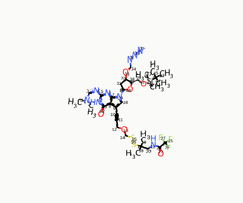 CN(C)/C=N\c1nc2c(c(C#CCOCSSC(C)(C)CNC(=O)C(F)(F)F)cn2[C@H]2CC(OCN=[N+]=[N-])[C@@H](CO[Si](C)(C)C(C)(C)C)O2)c(=O)[nH]1